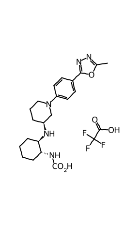 Cc1nnc(-c2ccc(N3CCC[C@H](N[C@@H]4CCCC[C@H]4NC(=O)O)C3)cc2)o1.O=C(O)C(F)(F)F